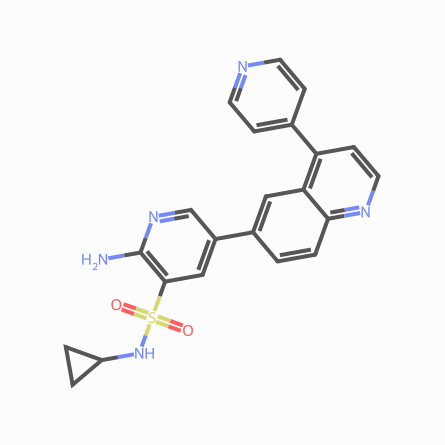 Nc1ncc(-c2ccc3nccc(-c4ccncc4)c3c2)cc1S(=O)(=O)NC1CC1